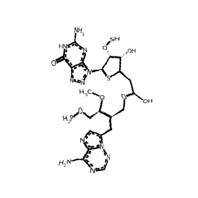 CO[C@H](COP)[C@@H](COC(O)CC1S[C@@H](n2nnc3c(=O)[nH]c(N)nc32)[C@H](OS)[C@@H]1O)Cc1cnc2c(N)ncnn12